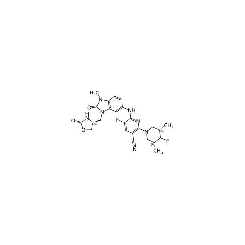 C[C@@H]1CN(c2nc(Nc3ccc4c(c3)n(C[C@H]3COC(=O)N3)c(=O)n4C)c(F)cc2C#N)C[C@H](C)C1F